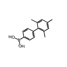 Cc1cc(C)c(-c2ccc(B(O)O)cc2)c(C)c1